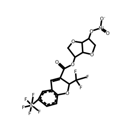 O=C(OC1COC2C(O[N+](=O)[O-])COC12)C1=Cc2cc(S(F)(F)(F)(F)F)ccc2OC1C(F)(F)F